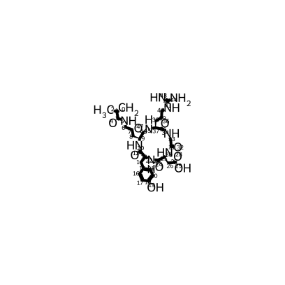 C=C(C)C(=O)NCCC[C@@H]1NC(=O)C(Cc2ccc(O)cc2)NC(=O)[C@H](CC(=O)O)NC(=O)CNC(=O)[C@H](CCCNC(=N)N)NC1=O